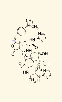 CC(NC(CC1C2(CO2)C(NC(C)C(=O)NC2=NCC=N2)CC2[C@]1(C)CC[C@@H](O)[C@@]2(C)CO)C1=C/C(=C\c2ccc(N(C)C)cc2)OC1=O)C(=O)NC1=NCC=N1